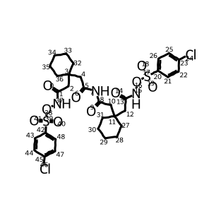 O=C(CC1(CC(=O)NC(=O)CC2(CC(=O)NOS(=O)(=O)c3ccc(Cl)cc3)CCCCC2)CCCCC1)NOS(=O)(=O)c1ccc(Cl)cc1